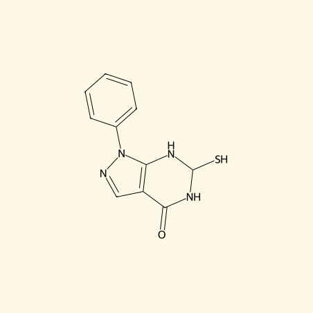 O=C1NC(S)Nc2c1cnn2-c1ccccc1